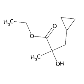 CCOC(=O)C(C)(O)CC1CC1